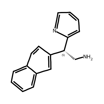 NC[C@H](c1ccc2ccccc2c1)c1ccccn1